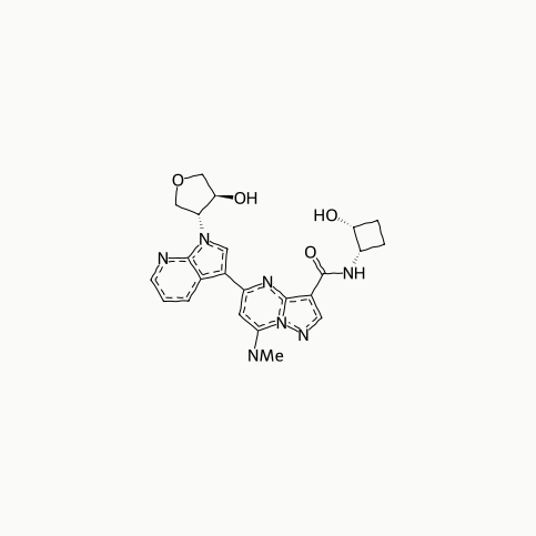 CNc1cc(-c2cn([C@@H]3COC[C@H]3O)c3ncccc23)nc2c(C(=O)N[C@H]3CC[C@H]3O)cnn12